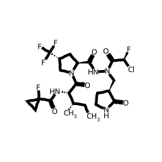 CC[C@H](C)[C@H](NC(=O)C1(F)CC1)C(=O)N1C[C@H](C(F)(F)F)C[C@H]1C(=O)NN(C[C@@H]1CCNC1=O)C(=O)[C@@H](F)Cl